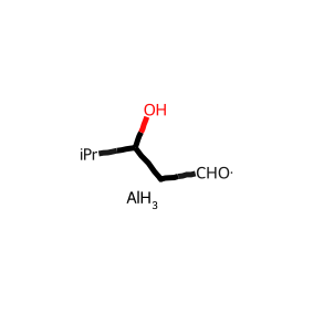 CC(C)C(O)C[C]=O.[AlH3]